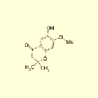 CCC(C)Oc1cc2c(cc1O)C(=O)CC(C)(C)O2